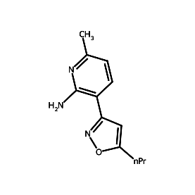 CCCc1cc(-c2ccc(C)nc2N)no1